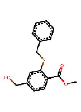 COC(=O)c1ccc(CO)cc1SCc1ccccc1